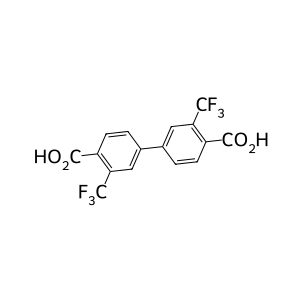 O=C(O)c1ccc(-c2ccc(C(=O)O)c(C(F)(F)F)c2)cc1C(F)(F)F